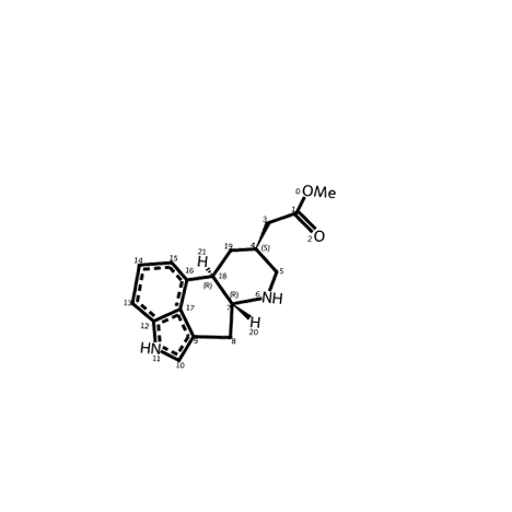 COC(=O)C[C@H]1CN[C@@H]2Cc3c[nH]c4cccc(c34)[C@H]2C1